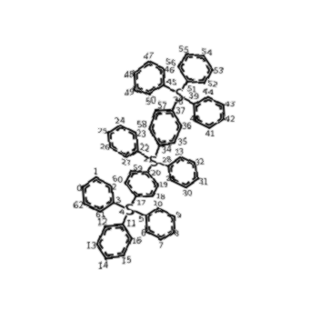 c1ccc(S(c2ccccc2)(c2ccccc2)c2ccc(S(c3ccccc3)(c3ccccc3)c3ccc(S(c4ccccc4)(c4ccccc4)c4ccccc4)cc3)cc2)cc1